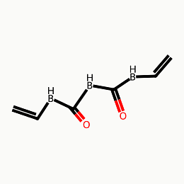 C=CBC(=O)BC(=O)BC=C